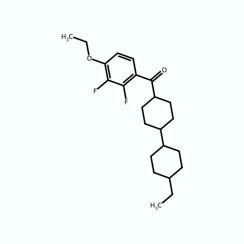 CCOc1ccc(C(=O)C2CCC(C3CCC(CC)CC3)CC2)c(F)c1F